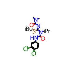 CCC(C)SC(=NC(=O)N(C)C)N(C(=O)Nc1ccc(Cl)c(Cl)c1)C(C)C